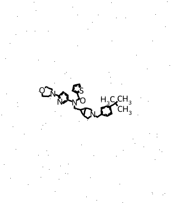 CC(C)(C)c1ccc(CN2CC3C(C2)C3CN(C(=O)c2cccs2)c2ccc(N3CCOCC3)nc2)cc1